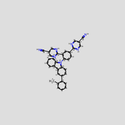 Cc1ccccc1-c1ccc2c(c1)c1ccccc1n2-c1ccc(-c2ncc(C#N)cn2)cc1-c1ncc(C#N)cn1